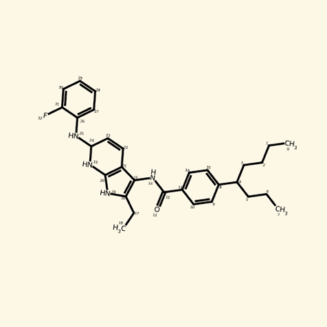 CCCCC(CCC)c1ccc(C(=O)Nc2c(CC)[nH]c3c2C=CC(Nc2ccccc2F)N3)cc1